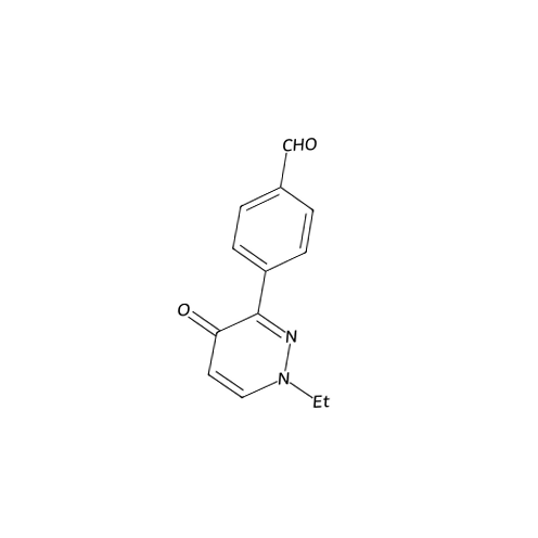 CCn1ccc(=O)c(-c2ccc(C=O)cc2)n1